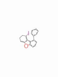 IC1=c2c(oc3cccc(-c4ccccc4)c23)=CCC1